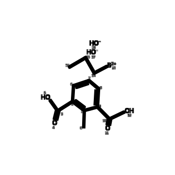 Cc1c(C(=O)O)cccc1C(=O)O.[B+2]CCC.[OH-].[OH-]